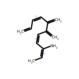 C=C/C=C\C(=C)C(=C)/C=C\C(N)=C/C